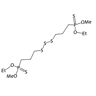 CCOP(=S)(CCCSSSCCCP(=S)(OC)OCC)OC